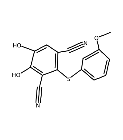 COc1cccc(Sc2c(C#N)cc(O)c(O)c2C#N)c1